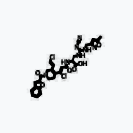 Cc1cc(CNC(=NC#N)NC[C@H](NC(=O)/C=C(\Cl)C2=C(/C=C/Cl)CN(C(=O)c3cc4ccccc4o3)CC2)C(=O)O)no1